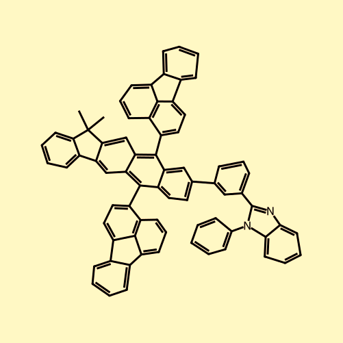 CC1(C)c2ccccc2-c2cc3c(-c4ccc5c6c(cccc46)-c4ccccc4-5)c4ccc(-c5cccc(-c6nc7ccccc7n6-c6ccccc6)c5)cc4c(-c4ccc5c6c(cccc46)-c4ccccc4-5)c3cc21